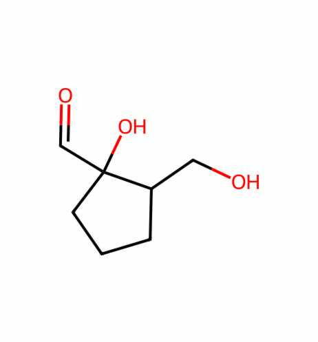 O=CC1(O)CCCC1CO